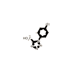 CCc1ccc(-n2nnnc2C(=O)O)cc1